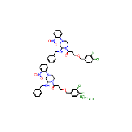 Cl.Cl.Cl.O=C(CCOCc1ccc(Cl)c(Cl)c1)N1CCN(c2ccccc2[N+](=O)[O-])CC1NCc1ccccc1.O=C(CCOCc1ccc(Cl)c(Cl)c1)N1CCN(c2ccccc2[N+](=O)[O-])CC1NCc1ccccc1